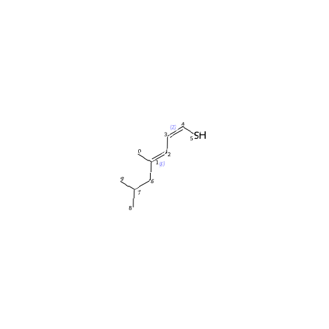 C/C(=C\C=C/S)CC(C)C